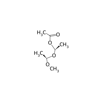 CO[C@@H](C)O[C@H](C)OC(C)=O